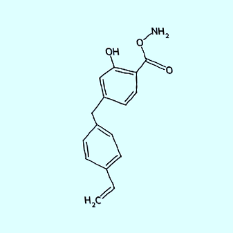 C=Cc1ccc(Cc2ccc(C(=O)ON)c(O)c2)cc1